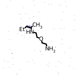 CC/C=C(/C)NCCOCCN